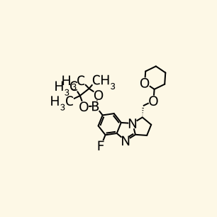 CC1(C)OB(c2cc(F)c3nc4n(c3c2)[C@H](COC2CCCCO2)CC4)OC1(C)C